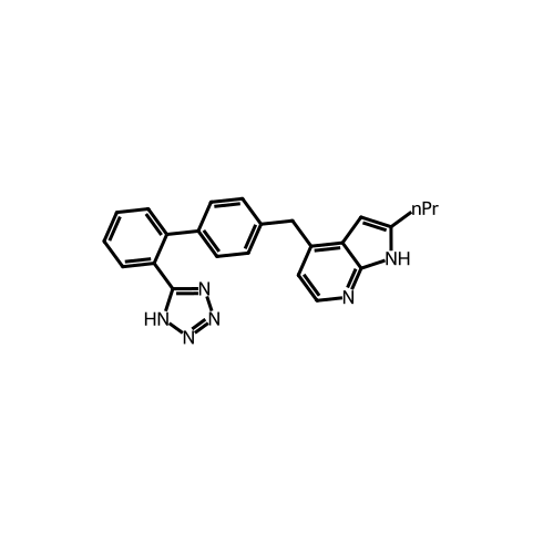 CCCc1cc2c(Cc3ccc(-c4ccccc4-c4nnn[nH]4)cc3)ccnc2[nH]1